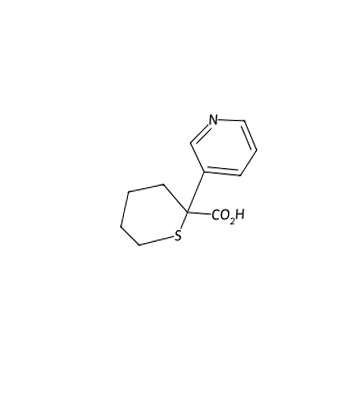 O=C(O)C1(c2cccnc2)CCCCS1